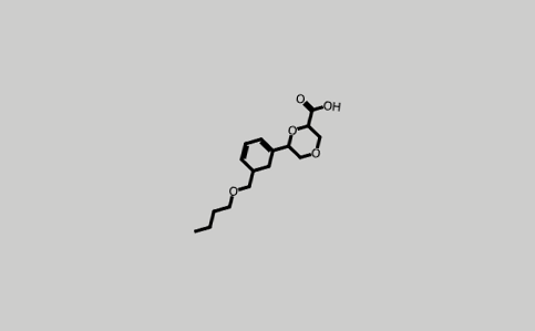 CCCCOCC1C=CC=C(C2COCC(C(=O)O)O2)C1